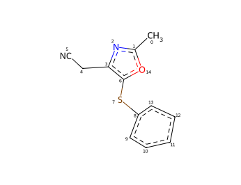 Cc1nc(CC#N)c(Sc2ccccc2)o1